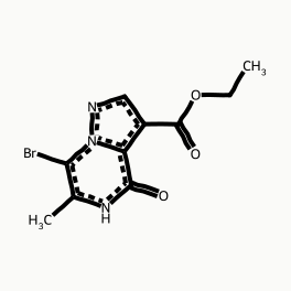 CCOC(=O)c1cnn2c(Br)c(C)[nH]c(=O)c12